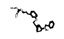 CNC(=O)OCCCc1cccc(OCc2cccc(N(Cc3ccccc3)C(C)=O)c2)c1